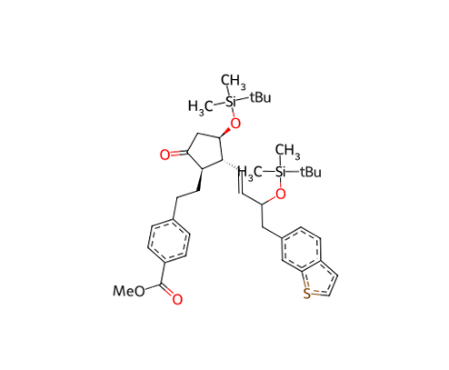 COC(=O)c1ccc(CC[C@H]2C(=O)C[C@@H](O[Si](C)(C)C(C)(C)C)[C@@H]2/C=C/C(Cc2ccc3ccsc3c2)O[Si](C)(C)C(C)(C)C)cc1